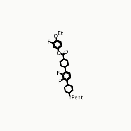 CCCCCC1CCC(c2ccc(C3CCC(C(=O)Oc4ccc(OCC)c(F)c4)CC3)c(F)c2F)CC1